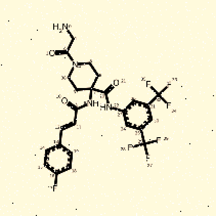 NCC(=O)N1CCC(NC(=O)/C=C/c2ccc(F)cc2)(C(=O)Nc2cc(C(F)(F)F)cc(C(F)(F)F)c2)CC1